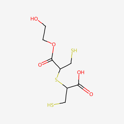 O=C(O)C(CS)SC(CS)C(=O)OCCO